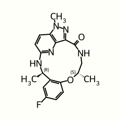 C[C@H]1CNC(=O)c2nn(C)c3ccc(nc23)N[C@H](C)c2cc(F)ccc2O1